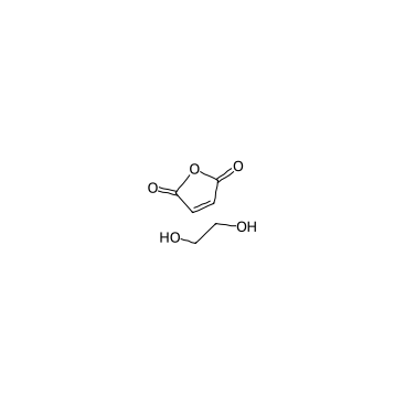 O=C1C=CC(=O)O1.OCCO